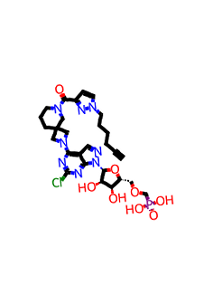 C#CCCCCn1ccc(C(=O)N2CCCC3(C2)CN(c2nc(Cl)nc4c2cnn4[C@@H]2O[C@H](COCP(=O)(O)O)[C@@H](O)[C@H]2O)C3)n1